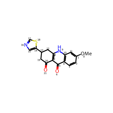 COc1ccc2c(=O)c3c([nH]c2c1)CC(c1cncs1)CC3=O